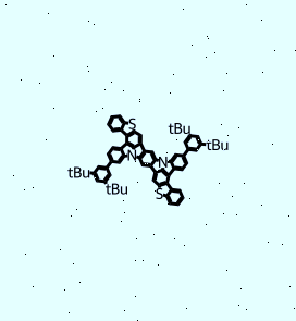 CC(C)(C)c1cc(-c2ccc3c4c5c(cc6c7cc8c(cc7n(c3c2)c64)c2cc3sc4ccccc4c3c3c4ccc(-c6cc(C(C)(C)C)cc(C(C)(C)C)c6)cc4n8c23)sc2ccccc25)cc(C(C)(C)C)c1